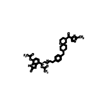 Cc1nc(C(=O)N2CCOC3(CCN(Cc4ccc(CCNC[C@H](OC(=O)C(F)(F)F)c5ccc(OC(=O)C(F)(F)F)c6[nH]c(=O)sc56)cc4)CC3)C2)cs1